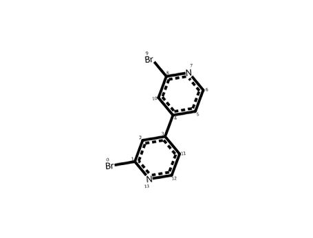 Brc1cc(-c2ccnc(Br)c2)ccn1